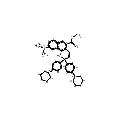 COC(=O)c1cc2ccc(N(C)C)cc2c2c1C=CC(c1ccc(N3CCCCC3)cc1)(c1ccc(N3CCCCC3)cc1)O2